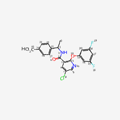 CC(NC(=O)c1cc(Cl)cnc1Oc1cc(F)cc(F)c1)c1ccc(C(=O)O)cc1